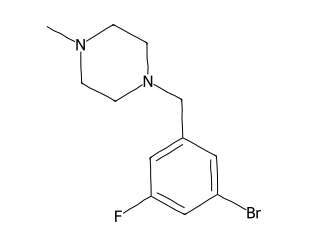 CN1CCN(Cc2cc(F)cc(Br)c2)CC1